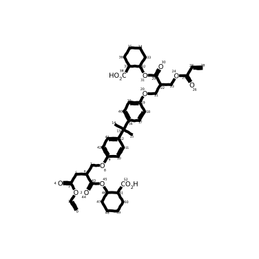 C=COC(=O)CC(COc1ccc(C(C)(C)c2ccc(OCC(COC(=O)C=C)C(=O)OC3CCCCC3C(=O)O)cc2)cc1)C(=O)OC1CCCCC1C(=O)O